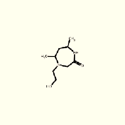 CC1CC(C)N(CCO)CC(=O)N1